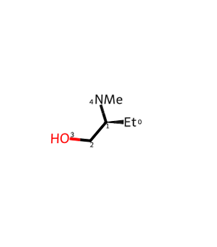 CC[C@@H](CO)NC